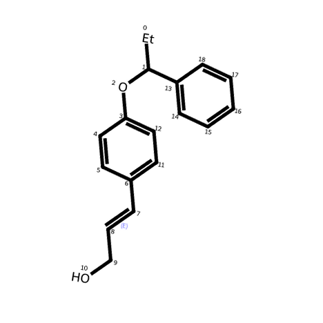 [CH2]CC(Oc1ccc(/C=C/CO)cc1)c1ccccc1